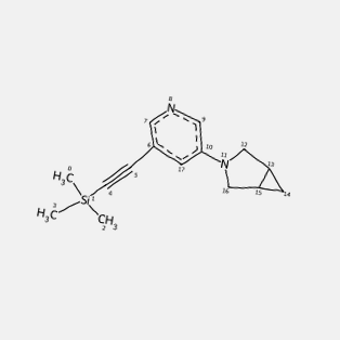 C[Si](C)(C)C#Cc1cncc(N2CC3CC3C2)c1